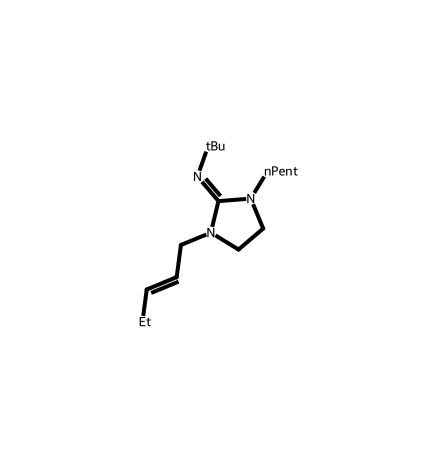 CC/C=C/CN1CCN(CCCCC)C1=NC(C)(C)C